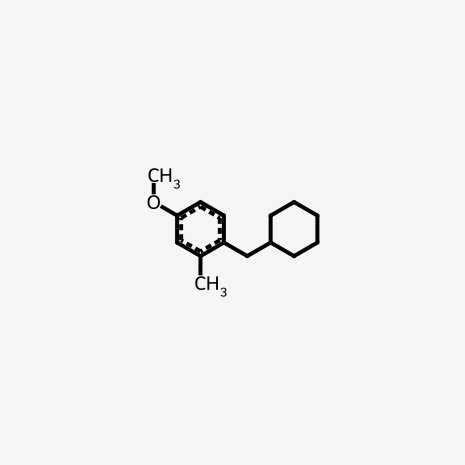 COc1ccc(CC2CCCCC2)c(C)c1